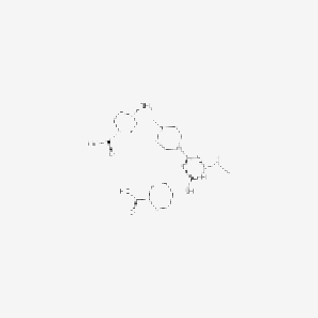 CNc1nc(N[C@H]2CC[C@H](C(=O)O)CC2)nc(N2CCN(C)CC2)n1.N[C@H]1CC[C@H](C(=O)O)CC1